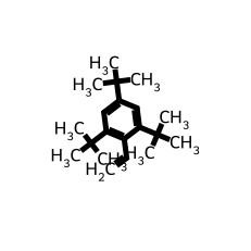 C=Cc1c(C(C)(C)C)cc(C(C)(C)C)cc1C(C)(C)C